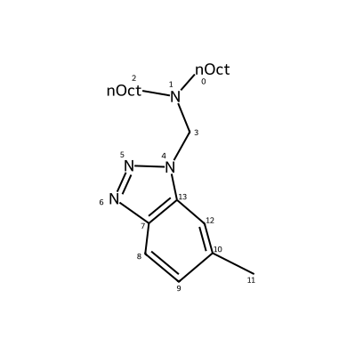 CCCCCCCCN(CCCCCCCC)Cn1nnc2ccc(C)cc21